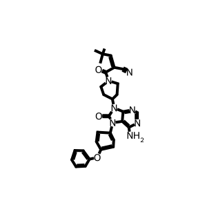 CC(C)(C)/C=C(/C#N)C(=O)N1CCC(n2c(=O)n(-c3ccc(Oc4ccccc4)cc3)c3c(N)ncnc32)CC1